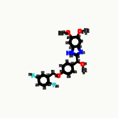 CCOc1cc2nc(C(OCC)c3ccc(OCc4cc(F)ccc4F)cc3)[nH]c2cc1OCC